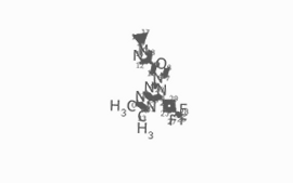 Cc1nc2nc(N3CCO[C@H](C4C=NN(C5CC5)C4)C3)nc([C@H]3C[C@H](C(F)(F)F)C3)c2nc1C